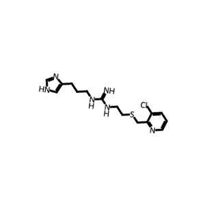 N=C(NCCCc1c[nH]cn1)NCCSCc1ncccc1Cl